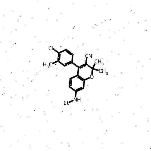 CCNc1ccc2c(c1)OC(C)(C)C(C#N)=C2c1ccc(Cl)c(C)c1